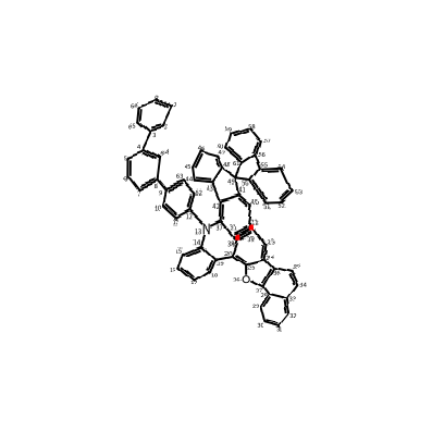 c1ccc(-c2cccc(-c3ccc(N(c4ccccc4-c4cccc5c4oc4c6ccccc6ccc54)c4cccc5c4-c4ccccc4C54c5ccccc5-c5ccccc54)cc3)c2)cc1